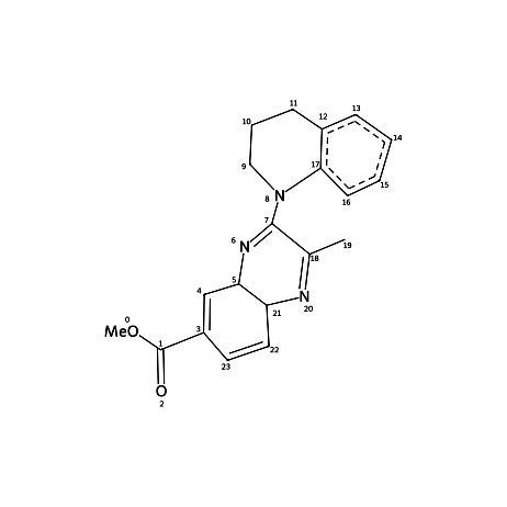 COC(=O)C1=CC2N=C(N3CCCc4ccccc43)C(C)=NC2C=C1